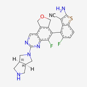 N#Cc1c(N)sc2ccc(F)c(-c3c4c(c5cnc(N6C[C@H]7CNC[C@H]7C6)nc5c3F)COC4)c12